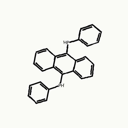 c1ccc(Pc2c3ccccc3c(Pc3ccccc3)c3ccccc23)cc1